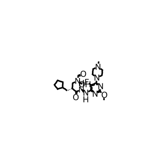 COc1nc(NNC(=O)[C@H](CC2CCCC2)CN(O)C=O)c(F)c(N2CCN(C)CC2)n1